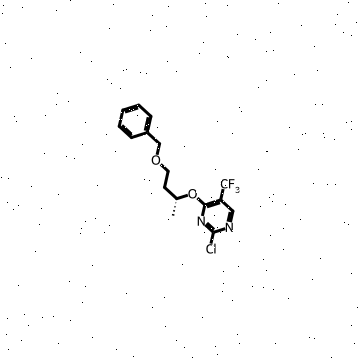 C[C@H](CCOCc1ccccc1)Oc1nc(Cl)ncc1C(F)(F)F